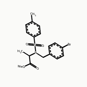 COC(=O)C(C)N(Cc1ccc(Br)cc1)S(=O)(=O)c1ccc(C)cc1